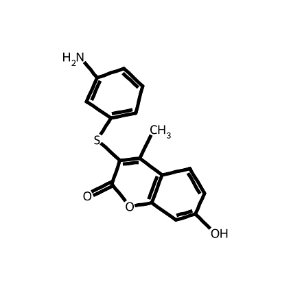 Cc1c(Sc2cccc(N)c2)c(=O)oc2cc(O)ccc12